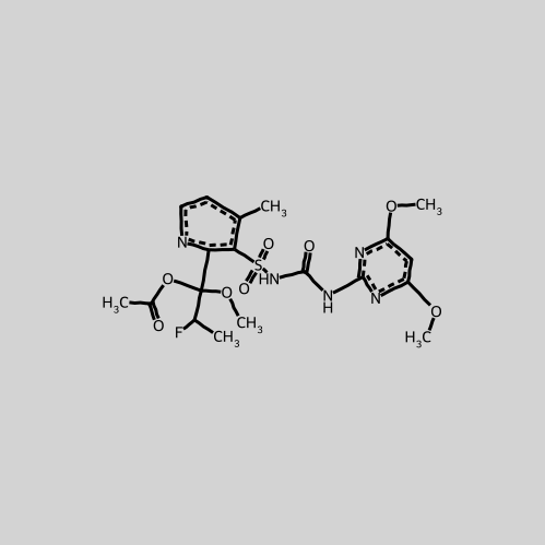 COc1cc(OC)nc(NC(=O)NS(=O)(=O)c2c(C)ccnc2C(OC)(OC(C)=O)C(C)F)n1